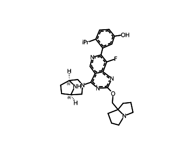 CC(C)c1ccc(O)cc1-c1ncc2c(N3C[C@H]4CC[C@@H](C3)N4)nc(OCC34CCCN3CCC4)nc2c1F